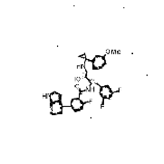 COc1cccc(C2(NC[C@@H](O)[C@H](Cc3cc(F)cc(F)c3)NC(=O)c3cc(-c4ccnc5[nH]ccc45)ccc3F)CC2)c1